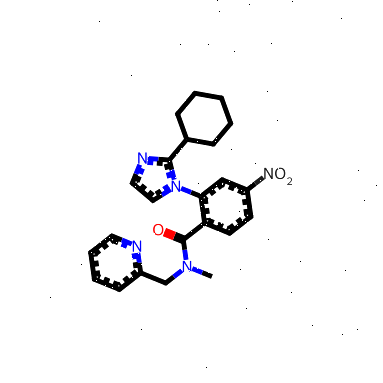 CN(Cc1ccccn1)C(=O)c1ccc([N+](=O)[O-])cc1-n1ccnc1C1CCCCC1